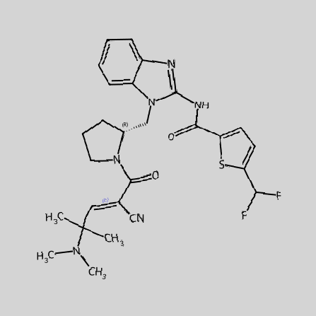 CN(C)C(C)(C)/C=C(\C#N)C(=O)N1CCC[C@@H]1Cn1c(NC(=O)c2ccc(C(F)F)s2)nc2ccccc21